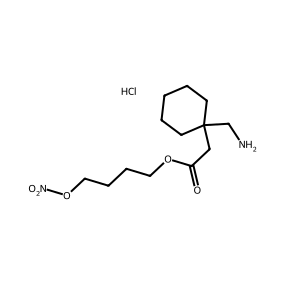 Cl.NCC1(CC(=O)OCCCCO[N+](=O)[O-])CCCCC1